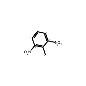 Cc1c([N+](=O)[O-])c[c]cc1[N+](=O)[O-]